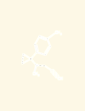 C#CCN(C)C1(c2ccc(C)cc2)CC1